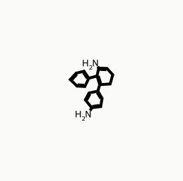 NC1=CCCC(c2ccc(N)cc2)=C1c1ccccc1